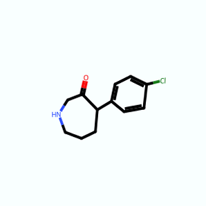 O=C1CNCCCC1c1ccc(Cl)cc1